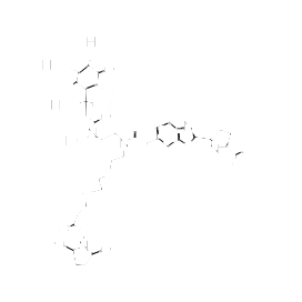 CC(=O)[C@H]1CSC(c2nc3ccc(OC(=O)N(CCOCCOCCC(=O)ON4C(=O)CCC4=O)CCN(C)C(=O)CC(C)(C)C4=C(C)C(=O)C(C)=C(C)C4=O)cc3s2)=N1